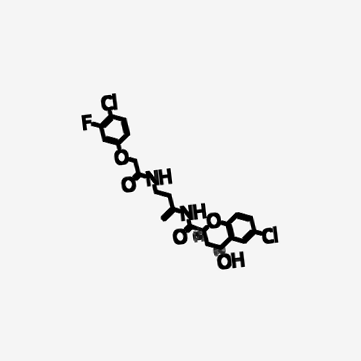 C=C(CCNC(=O)COc1ccc(Cl)c(F)c1)NC(=O)[C@@H]1C[C@@H](O)c2cc(Cl)ccc2O1